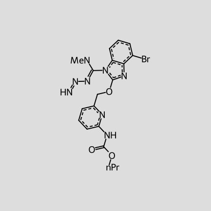 CCCOC(=O)Nc1cccc(COc2nc3c(Br)cccc3n2/C(=N/N=N)NC)n1